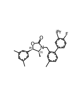 Cc1cc(C)cc([C@H]2OC(=O)N(Cc3cc(C)ccc3-c3ccc(F)c(C(C)C)c3)[C@H]2C)c1